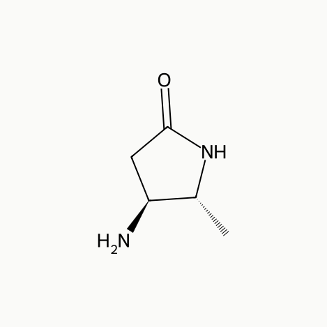 C[C@H]1NC(=O)C[C@@H]1N